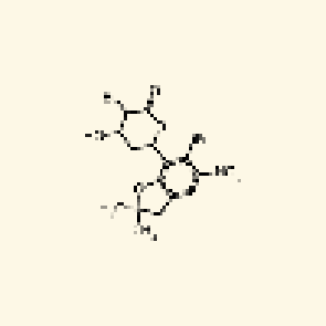 CCC1C(=O)OC(c2c3c(cc([N+](=O)[O-])c2C(C)C)CC(C)(C)O3)CC1O